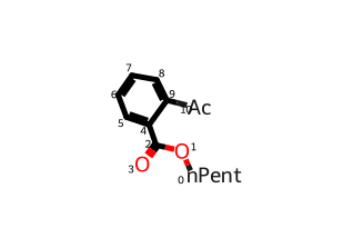 CCCCCOC(=O)c1ccccc1C(C)=O